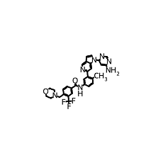 Cc1ccc(NC(=O)c2ccc(CN3CCOCC3)c(C(F)(F)F)c2)cc1-c1cc2c(ccn2-c2cc(N)ncn2)cn1